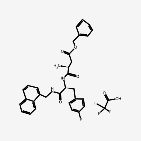 N[C@@H](CC(=O)OCc1ccccc1)C(=O)N[C@@H](Cc1ccc(F)cc1)C(=O)NCc1cccc2ccccc12.O=C(O)C(F)(F)F